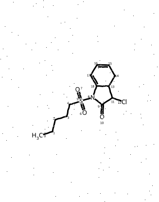 CCCCCS(=O)(=O)N1C(=O)C(Cl)C2CC=CC=C21